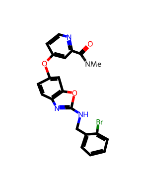 CNC(=O)c1cc(Oc2ccc3nc(NCc4ccccc4Br)oc3c2)ccn1